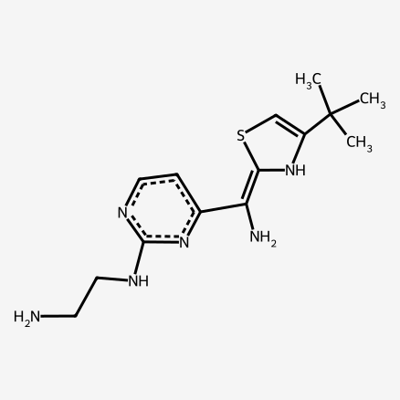 CC(C)(C)C1=CS/C(=C(/N)c2ccnc(NCCN)n2)N1